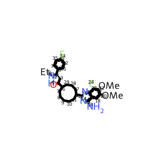 CCN[C@H](CC(=O)C1CCCCCC(c2nc(N)c3cc(OC)c(OC)c(F)c3n2)CCC1)c1ccc(F)cc1